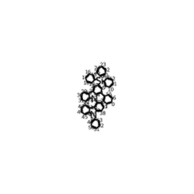 c1ccc(-c2cc([Si](c3ccccc3)(c3ccccc3)c3ccccc3)cc3c4ccccc4n(-c4cccc5c4c4ccccc4n5-c4ccccc4)c23)cc1